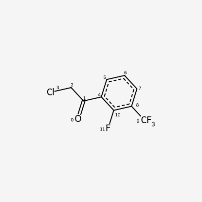 O=C(CCl)c1cccc(C(F)(F)F)c1F